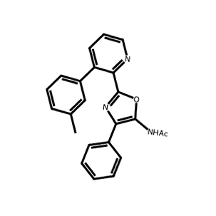 CC(=O)Nc1oc(-c2ncccc2-c2cccc(C)c2)nc1-c1ccccc1